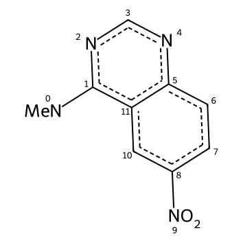 CNc1ncnc2ccc([N+](=O)[O-])cc12